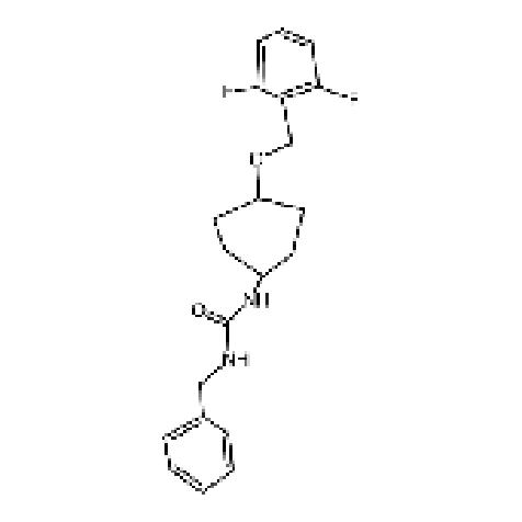 O=C(NCc1ccccc1)NC1CCC(OCc2c(F)cccc2F)CC1